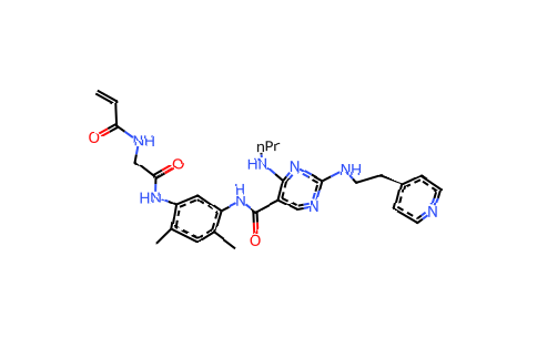 C=CC(=O)NCC(=O)Nc1cc(NC(=O)c2cnc(NCCc3ccncc3)nc2NCCC)c(C)cc1C